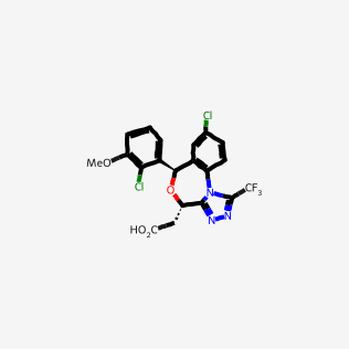 COc1cccc([C@@H]2O[C@@H](CC(=O)O)c3nnc(C(F)(F)F)n3-c3ccc(Cl)cc32)c1Cl